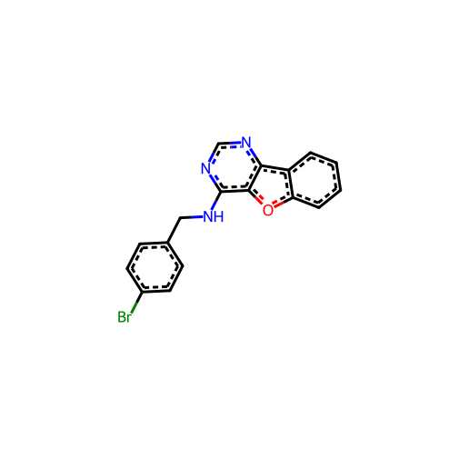 Brc1ccc(CNc2ncnc3c2oc2ccccc23)cc1